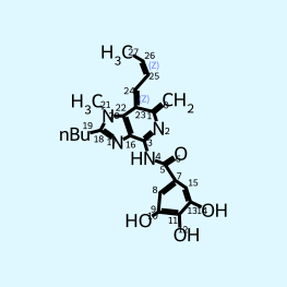 C=c1nc(NC(=O)c2cc(O)c(O)c(O)c2)c2nc(CCCC)n(C)c2/c1=C/C=C\C